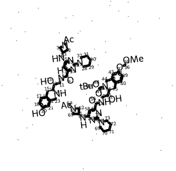 CC(=O)N1CC(Nc2cc(C(=O)NC[C@@H](O)[C@@H]3Cc4ccc(O)cc4CN3)nc(N3CCCCC3)n2)C1.COCOc1ccc2c(c1)CN(C(=O)OC(C)(C)C)[C@H]([C@H](O)CNC(=O)c1cc(NC3CN(C(C)=O)C3)nc(N3CCCCC3)n1)C2